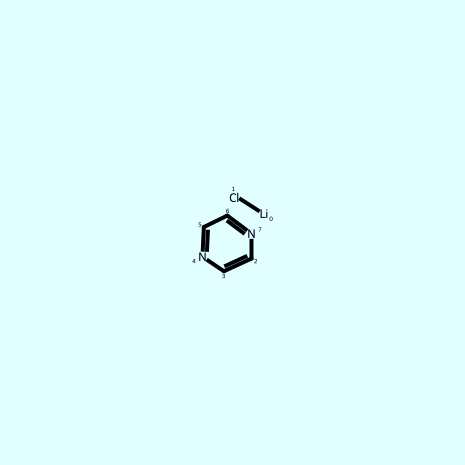 [Li][Cl].c1cnccn1